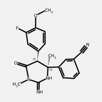 COc1ccc([C@H]2C(=O)N(C)C(=N)N[C@]2(C)c2cccc(C#N)c2)cc1F